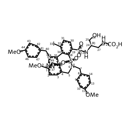 COc1ccc(CN(Cc2ccc(OC)cc2)S(=O)(=O)c2c(S(=O)(=O)N[C@@H](CO)CNC(=O)O)ccc(I)c2-c2nnnn2Cc2ccc(OC)cc2)cc1